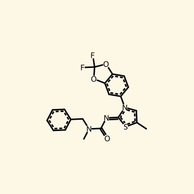 Cc1cn(-c2ccc3c(c2)OC(F)(F)O3)c(=NC(=O)N(C)Cc2ccccc2)s1